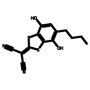 CCCCc1cc(O)c2c(c1O)SC(=C(C#N)C#N)S2